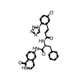 O=C(C=Cc1cc(Cl)ccc1-n1cnnn1)NC(Cc1ccccc1)C(=O)Nc1ccc2c(=O)[nH]ccc2c1